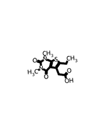 CCc1sc2c(c1CC(=O)O)c(=O)n(C)c(=O)n2C